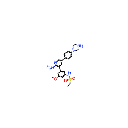 CCS(=O)(=O)Nc1cc(OC)cc(-c2cc(-c3ccc(N4CCNCC4)cc3)cnc2N)c1